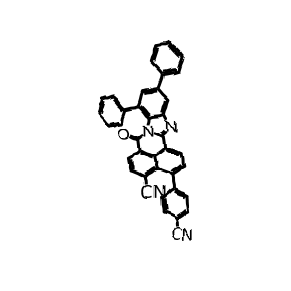 N#Cc1ccc(-c2ccc3c4c2c(C#N)ccc4c(=O)n2c3nc3cc(-c4ccccc4)cc(-c4ccccc4)c32)cc1